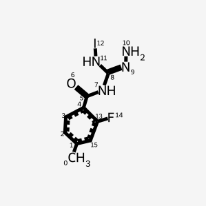 Cc1ccc(C(=O)N/C(=N/N)NI)c(F)c1